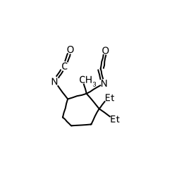 CCC1(CC)CCCC(N=C=O)C1(C)N=C=O